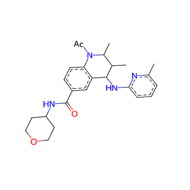 CC(=O)N1c2ccc(C(=O)NC3CCOCC3)cc2C(Nc2cccc(C)n2)C(C)C1C